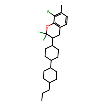 CCCC1CCC(C2CCC(C3Cc4ccc(C)c(F)c4OC3(F)F)CC2)CC1